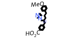 COc1ccc(CCC/C(=C/c2ccc(C(=O)O)cc2)Cn2ccnc2)cc1